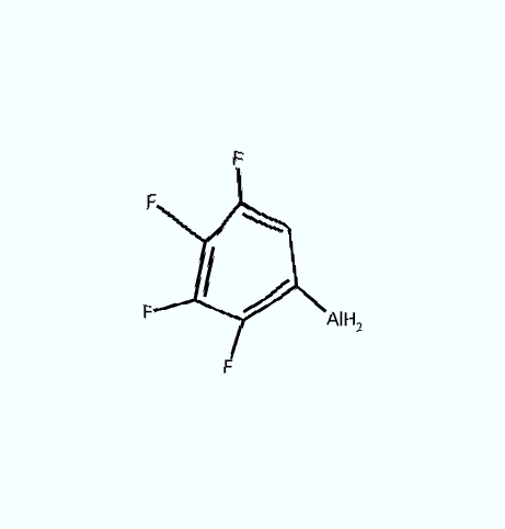 Fc1c[c]([AlH2])c(F)c(F)c1F